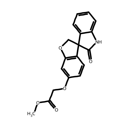 COC(=O)COc1ccc2c(c1)OCC21C(=O)Nc2ccccc21